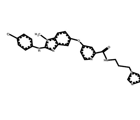 Cn1c(Nc2ccc(Cl)cc2)nc2cc(Oc3ccnc(C(=O)NCCCn4ccnc4)c3)ccc21